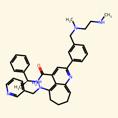 CNCCN(C)Cc1cccc(-c2cc(C(=O)N[C@@H](C)c3ccccc3)c3c(n2)=CCCCC=3N(N)Cc2cccnc2)c1